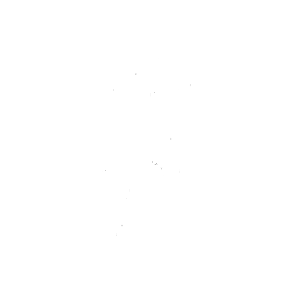 CCC(C)(C)C(=O)OC[15N+]([13CH3])([13CH3])CC(=O)O